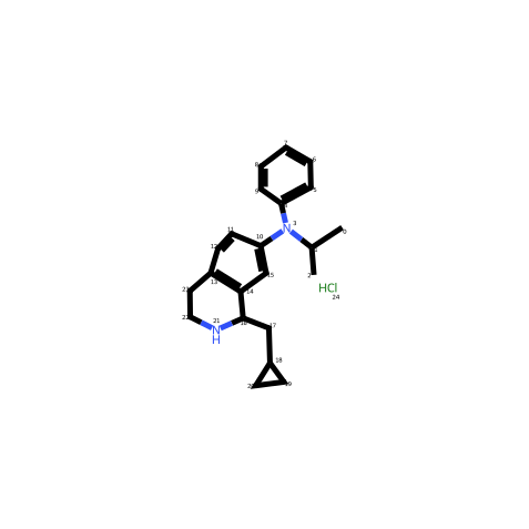 CC(C)N(c1ccccc1)c1ccc2c(c1)C(CC1CC1)NCC2.Cl